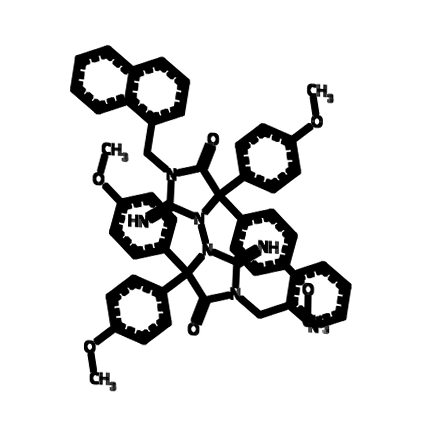 COc1ccc(C2(c3ccc(OC)cc3)C(=O)N(Cc3ccccn3)C(=N)N2N2C(=N)N(Cc3cccc4ccccc34)C(=O)C2(c2ccc(OC)cc2)c2ccc(OC)cc2)cc1